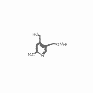 COCc1cnc(C#N)cc1CO